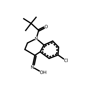 CC(C)(C)C(=O)N1CC/C(=N/O)c2cc(Cl)ccc21